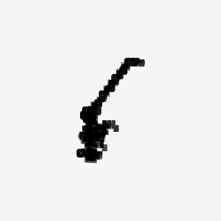 COCCOCCOCCOCCOCCOCCOc1cc(C)c(-c2cc3c(N[C@H]4CC[C@H](N)CC4)c(C(N)=Nc4cc(F)ccc4Cl)cnn3c2)cn1.O=CO